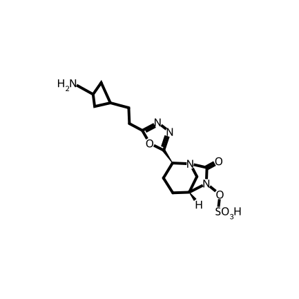 NC1CC(CCc2nnc([C@@H]3CC[C@@H]4CN3C(=O)N4OS(=O)(=O)O)o2)C1